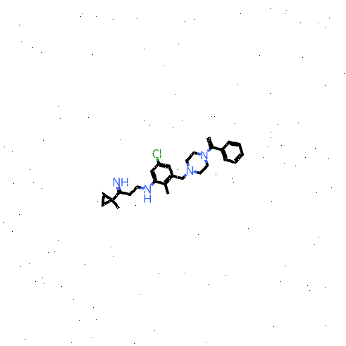 C=C(c1ccccc1)N1CCN(Cc2cc(Cl)cc(NCCC(=N)C3(C)CC3)c2C)CC1